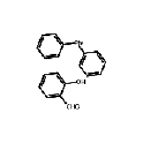 O=Cc1ccccc1O.c1cc[c]([Pb][c]2ccccc2)cc1